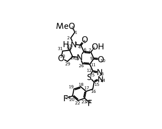 COCCN1C(=O)c2c(O)c(=O)c(-c3nnc(Cc4ccc(F)cc4F)s3)cn2C2COC[C@@H]21